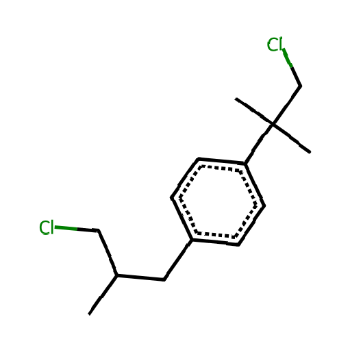 CC(CCl)Cc1ccc(C(C)(C)CCl)cc1